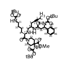 CC#CCC(CN[C@H](CCCCNC(=O)OC(C)(C)C)C(=O)N1CCC(NC(=O)OC(C)(C)C)(C(=O)OC)CC1)NC(=O)CC(NC(=O)OC(C)(C)C)c1ccccc1